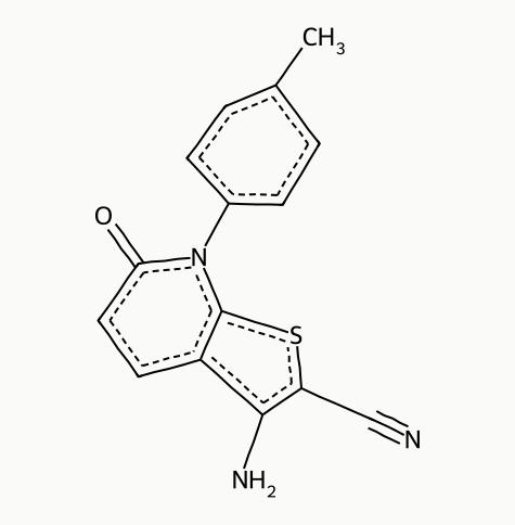 Cc1ccc(-n2c(=O)ccc3c(N)c(C#N)sc32)cc1